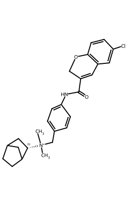 C[N+](C)(Cc1ccc(NC(=O)C2=Cc3cc(Cl)ccc3OC2)cc1)[C@H]1CC2CCC1C2